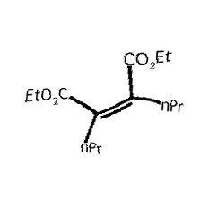 CCC/C(C(=O)OCC)=C(\CCC)C(=O)OCC